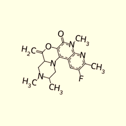 C=C1Oc2c(c3cc(F)c(C)nc3n(C)c2=O)N2CC(C)N(C)CC12